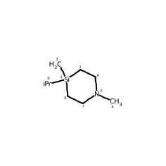 CC(C)[Si]1(C)CCN(C)CC1